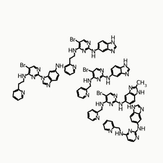 Brc1cnc(Nc2ccc3[nH]cnc3c2)nc1NCCc1ccccn1.Brc1cnc(Nc2ccc3[nH]cnc3c2)nc1NCc1ccccn1.Cc1nc2cc(Nc3ncc(Br)c(NCc4ccccn4)n3)ccc2[nH]1.Nc1ccc2ncn(-c3ncc(Br)c(NCCc4ccccn4)n3)c2c1.c1ccc(CNc2ccnc(Nc3ccc4[nH]cnc4c3)n2)nc1